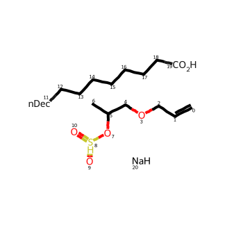 C=CCOCC(C)O[SH](=O)=O.CCCCCCCCCCCCCCCCCC(=O)O.[NaH]